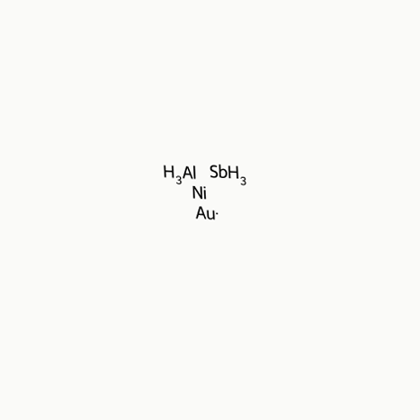 [AlH3].[Au].[Ni].[SbH3]